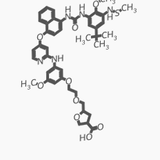 COc1cc(Nc2cc(Oc3ccc(NC(=O)Nc4cc(C(C)(C)C)cc(NSC)c4OC)c4ccccc34)ccn2)cc(OCCOCC2CC(C(=O)O)CO2)c1